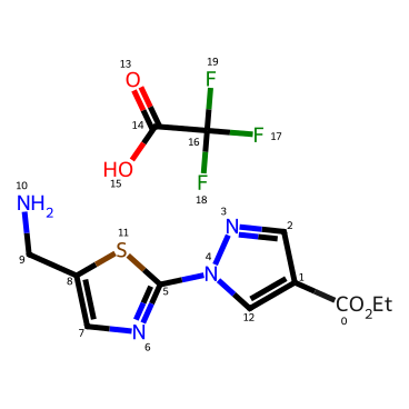 CCOC(=O)c1cnn(-c2ncc(CN)s2)c1.O=C(O)C(F)(F)F